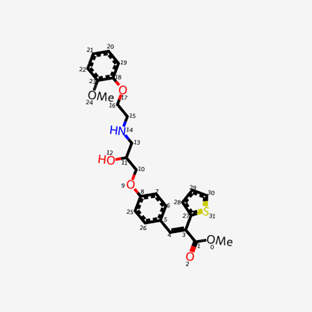 COC(=O)/C(=C/c1ccc(OCC(O)CNCCOc2ccccc2OC)cc1)c1cccs1